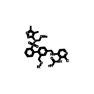 CCCC(=O)Nc1c(NCc2ccc(-c3ccccc3S(=O)(=O)N(COC)c3noc(C)c3C)c(COCC)c2)ccnc1Cl